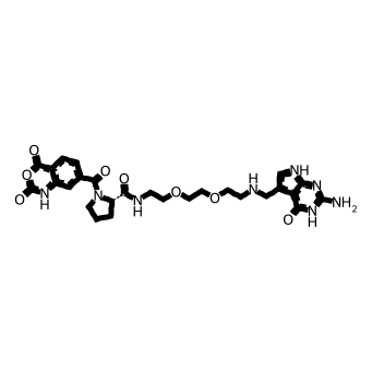 Nc1nc2[nH]cc(CNCCOCCOCCNC(=O)[C@@H]3CCCN3C(=O)c3ccc4c(=O)oc(=O)[nH]c4c3)c2c(=O)[nH]1